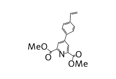 C=Cc1ccc(-c2cc(C(=O)OC)nc(C(=O)OC)c2)cc1